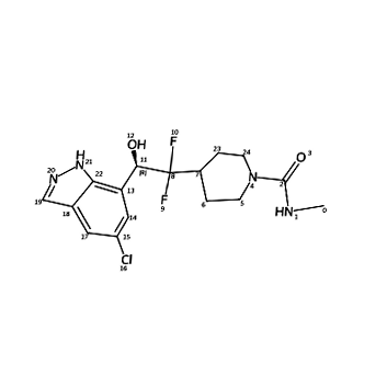 CNC(=O)N1CCC(C(F)(F)[C@H](O)c2cc(Cl)cc3cn[nH]c23)CC1